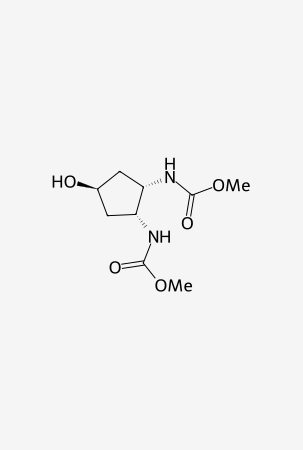 COC(=O)N[C@H]1C[C@H](O)C[C@H]1NC(=O)OC